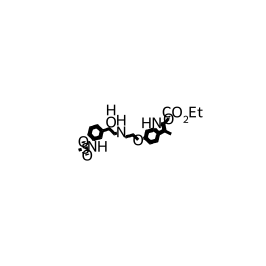 CCOC(=O)Oc1[nH]c2cc(OCCNC[C@H](O)c3cccc(NS(C)(=O)=O)c3)ccc2c1C